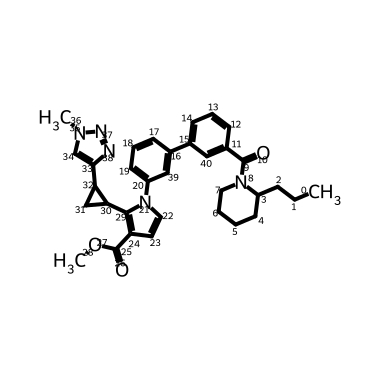 CCCC1CCCCN1C(=O)c1cccc(-c2cccc(-n3ccc(C(=O)OC)c3C3CC3c3cn(C)nn3)c2)c1